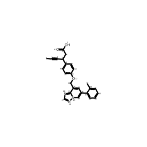 CC#CC(CC(=O)O)c1ccc(OCc2cc(-c3ccccc3C)cn3ncnc23)cc1